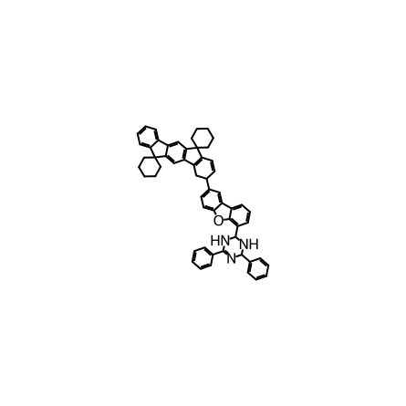 C1=CC(c2ccc3oc4c(C5NC(c6ccccc6)=NC(c6ccccc6)N5)cccc4c3c2)CC2=C1C1(CCCCC1)c1cc3c(cc12)C1(CCCCC1)c1ccccc1-3